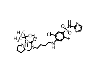 CC(C)(C)OC(=O)N(CCCCNc1cc(F)c(S(=O)(=O)Nc2nccs2)cc1Cl)C[C@H]1CCCN1